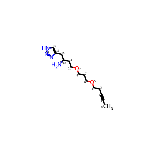 CC#CCCOCCCOCCC(N)Cc1c[nH]nn1